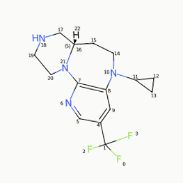 FC(F)(F)c1cnc2c(c1)N(C1CC1)CC[C@H]1CNCCN21